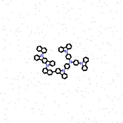 c1ccc2c(-n3c4ccccc4c4cc5c(cc43)c3ccccc3n5-c3cccc4ccc(-c5ccc6c(c5)c5ccccc5n6-c5ccc(N(c6ccc(-n7c8ccccc8c8ccccc87)cc6)c6ccc(-n7c8ccccc8c8ccccc87)cc6)cc5)cc34)cccc2c1